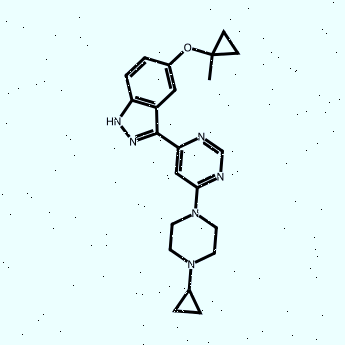 CC1(Oc2ccc3[nH]nc(-c4cc(N5CCN(C6CC6)CC5)ncn4)c3c2)CC1